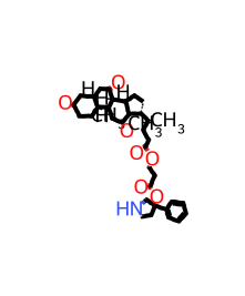 C[C@H](CCC(=O)OCCC(=O)OC1(c2ccccc2)CCNC1)[C@H]1CC[C@H]2[C@@H]3C(=O)C[C@@H]4CC(=O)CC[C@]4(C)[C@H]3CC(=O)[C@]12C